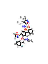 Cc1noc(NS(=O)(=O)c2ccccc2-c2ccc(-c3ncco3)cc2CN(C)C(=O)Cc2cc(F)ccc2F)c1C